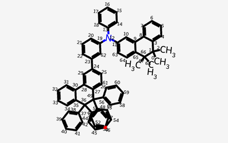 CC1(C)c2ccccc2-c2cc(N(c3ccccc3)c3cccc(-c4ccc5c(c4)-c4ccccc4C(c4ccccc4)(c4ccccc4)C5(c4ccccc4)c4ccccc4)c3)ccc2C1(C)C